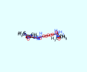 CCN(CC)c1ccc2c(c1)Cc1cc(N(CC)CC)ccc1C21c2ccccc2C(=O)N1c1ccc(/C=C/c2cc[n+](CCc3cn(CC(=O)NCCCOCCOCCOCCOCCOCCCNc4cc(-n5nc(C)c6c5CC(C)(C)CC6=O)ccc4C(N)=O)nn3)cc2)cc1